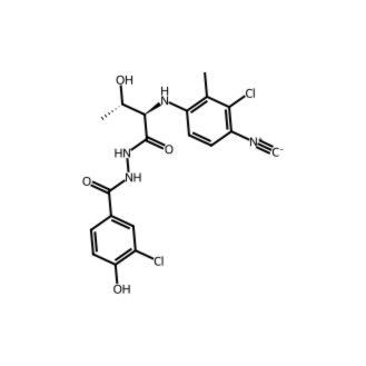 [C-]#[N+]c1ccc(N[C@@H](C(=O)NNC(=O)c2ccc(O)c(Cl)c2)[C@H](C)O)c(C)c1Cl